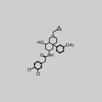 CC(=O)Oc1cccc(C23CCN(CC4CC4)CC2C(O)CC(NC(=O)Cc2ccc(Cl)c(Cl)c2)C3)c1